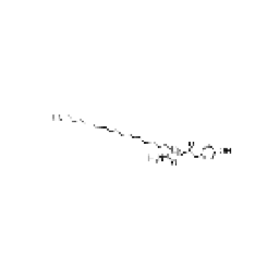 CCCCCCCCCCCCCCCCCCN(CNC(=O)Cc1ccc(O)cc1)C(N)=O